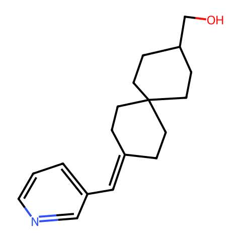 OCC1CCC2(CCC(=Cc3cccnc3)CC2)CC1